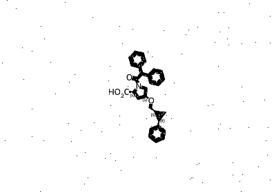 O=C(O)[C@@H]1C[C@H](OC[C@H]2C[C@H]2c2ccccc2)CN1C(=O)C(c1ccccc1)c1ccccc1